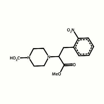 COC(=O)C(Cc1ccccc1[N+](=O)[O-])N1CCN(C(=O)O)CC1